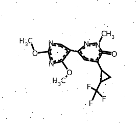 COc1ncc(-c2cc(C3CC3C(F)(F)F)c(=O)n(C)n2)c(OC)n1